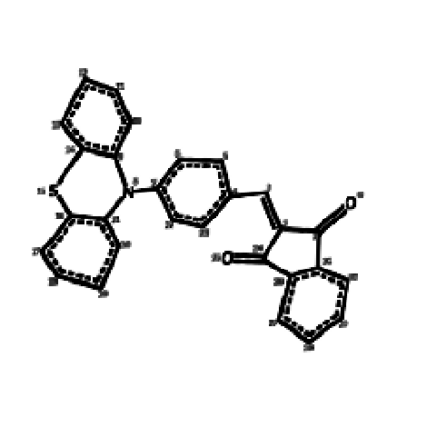 O=C1C(=Cc2ccc(N3c4ccccc4Sc4ccccc43)cc2)C(=O)c2ccccc21